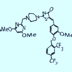 COc1cc(OC)nc(CN2CCN(C3=NC(=O)C(=Cc4ccc(OCc5ccc(C(F)(F)F)cc5C(F)(F)F)c(OC)c4)S3)CC2)n1